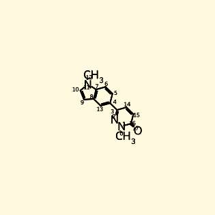 Cn1nc(-c2ccc3c(ccn3C)c2)ccc1=O